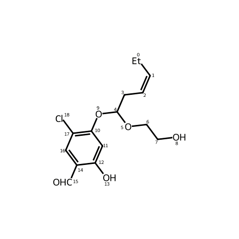 CC/C=C\CC(OCCO)Oc1cc(O)c(C=O)cc1Cl